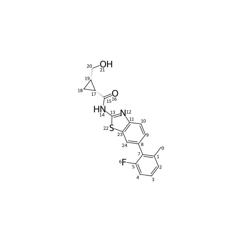 Cc1cccc(F)c1-c1ccc2nc(NC(=O)[C@@H]3C[C@@H]3CO)sc2c1